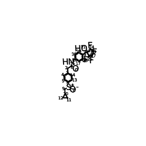 O=C(Cc1ccc([S@@+]([O-])CC2CC2)cc1)Nc1ccc(C(O)(C(F)F)C(F)(F)F)cc1